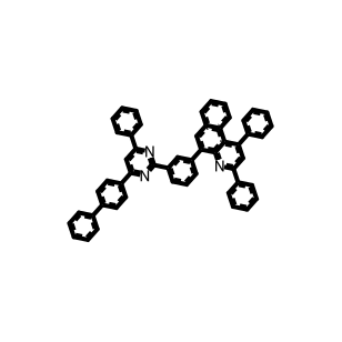 c1ccc(-c2ccc(-c3cc(-c4ccccc4)nc(-c4cccc(-c5cc6ccccc6c6c(-c7ccccc7)cc(-c7ccccc7)nc56)c4)n3)cc2)cc1